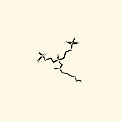 CSSCCCN(C)CP(=O)(CCOS(C)(=O)=O)CCOS(C)(=O)=O